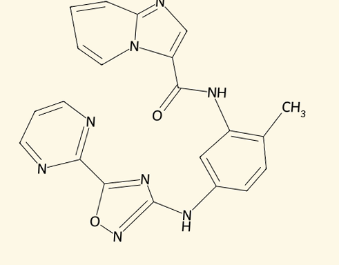 Cc1ccc(Nc2noc(-c3ncccn3)n2)cc1NC(=O)c1cnc2ccccn12